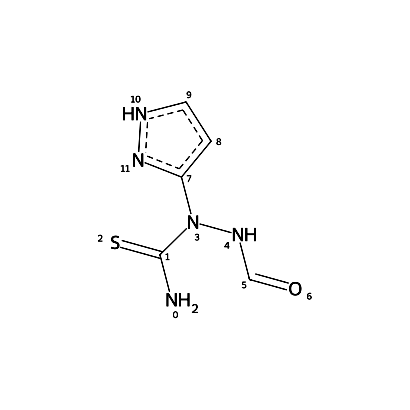 NC(=S)N(NC=O)c1cc[nH]n1